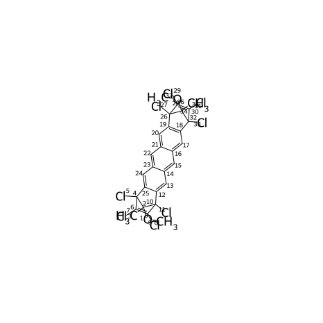 COC1(C)C2(Cl)C(Cl)=C(Cl)C1(Cl)c1cc3cc4cc5c(cc4cc3cc12)C1(Cl)C(Cl)=C(Cl)C5(Cl)C1(C)OC